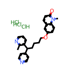 Cc1ncccc1C(CCCCOc1ccc2c(ccc(=O)n2C)c1)c1ccncc1.Cl.Cl.Cl